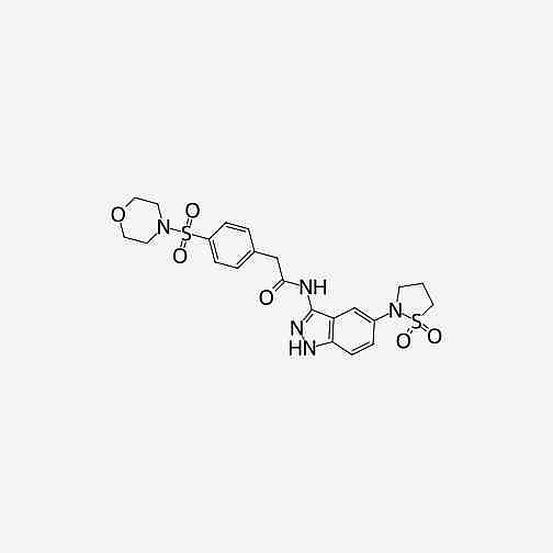 O=C(Cc1ccc(S(=O)(=O)N2CCOCC2)cc1)Nc1n[nH]c2ccc(N3CCCS3(=O)=O)cc12